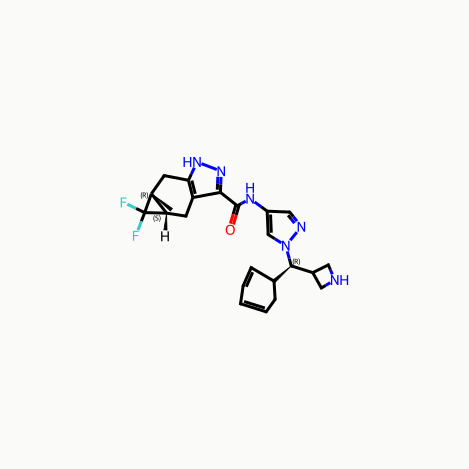 C[C@@]12Cc3[nH]nc(C(=O)Nc4cnn([C@H](C5C=CC=CC5)C5CNC5)c4)c3C[C@@H]1C2(F)F